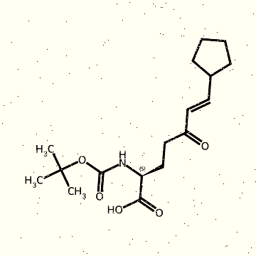 CC(C)(C)OC(=O)N[C@@H](CCC(=O)C=CC1CCCC1)C(=O)O